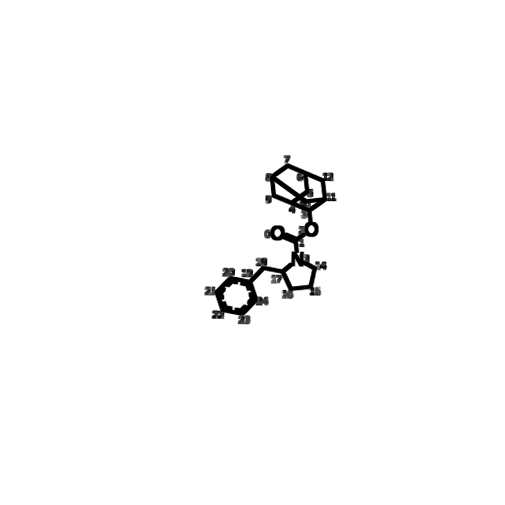 O=C(OC1C2CC3CC(C2)CC1C3)N1CCCC1Cc1ccccc1